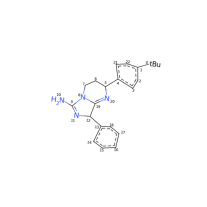 CC(C)(C)c1ccc(C2CCN3C(N)=NC(c4ccccc4)C3=N2)cc1